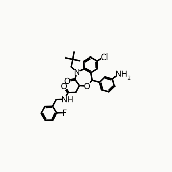 CC(C)(C)CN1C(=O)C(CC(=O)NCc2ccccc2F)OC(c2cccc(N)c2)c2cc(Cl)ccc21